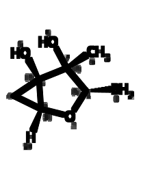 B[C@@H]1O[C@@H]2C[C@]2(O)[C@]1(C)O